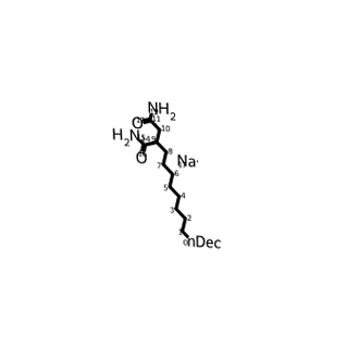 CCCCCCCCCCCCCCCCCCC(CC(N)=O)C(N)=O.[Na]